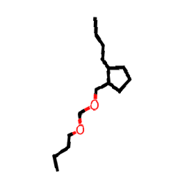 CCCCOCOCC1CCCC1CCCC